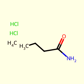 C.CCCC(N)=O.Cl.Cl